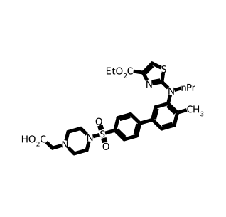 CCCN(c1nc(C(=O)OCC)cs1)c1cc(-c2ccc(S(=O)(=O)N3CCN(CC(=O)O)CC3)cc2)ccc1C